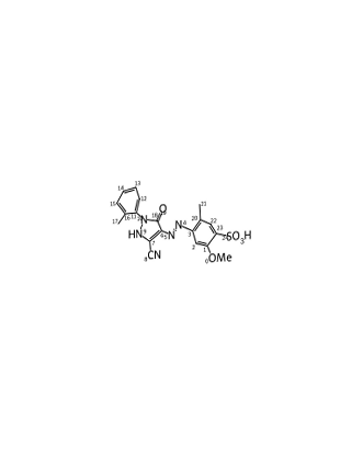 COc1cc(/N=N/c2c(C#N)[nH]n(-c3ccccc3C)c2=O)c(C)cc1S(=O)(=O)O